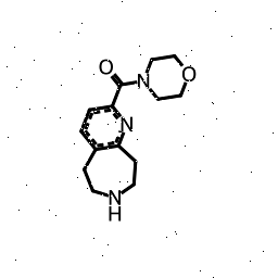 O=C(c1ccc2c(n1)CCNCC2)N1CCOCC1